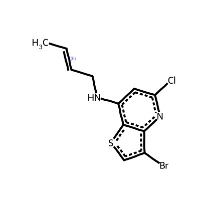 C/C=C/CNc1cc(Cl)nc2c(Br)csc12